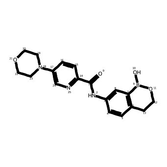 O=C(Nc1ccc2c(c1)B(O)OCC2)c1ccc(N2CCOCC2)cn1